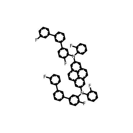 Fc1cccc(-c2cccc(-c3ccc(F)c(N(c4cc5ccc6cc(N(c7ccccc7F)c7cc(-c8cccc(-c9cccc(F)c9)c8)ccc7F)cc7ccc(c4)c5c67)c4ccccc4F)c3)c2)c1